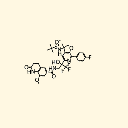 COc1cc(C(=O)NCC(O)(c2cc3c(c(-c4ccc(F)cc4)n2)OCC3(C)N[S+]([O-])C(C)(C)C)C(F)(F)F)cc2c1NC(=O)CC2